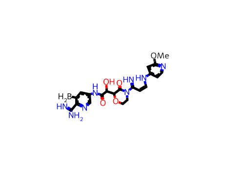 Bc1cc(NC(=O)C(O)C2OCCN(C(=N)/C=C\Nc3ccnc(OC)c3)C2=O)cnc1C(=N)N